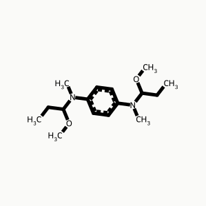 CCC(OC)N(C)c1ccc(N(C)C(CC)OC)cc1